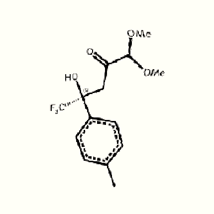 COC(OC)C(=O)C[C@](O)(c1ccc(C)cc1)C(F)(F)F